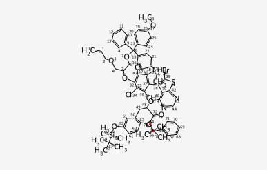 C=CCOCC(COC(c1ccccc1)(c1ccc(OC)cc1)c1ccc(OC)cc1)Oc1c(Cl)c(C)c(-c2c(Br)sc3ncnc(OC(Cc4cc(O[Si](C)(C)C(C)(C)C)ccc4OCc4ccccc4)C(=O)OC(C)(C)C)c23)c(C)c1Cl